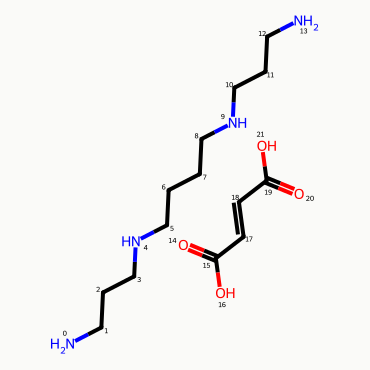 NCCCNCCCCNCCCN.O=C(O)C=CC(=O)O